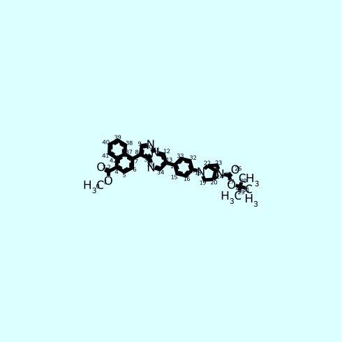 COC(=O)c1ccc(-c2cnn3cc(-c4ccc(N5CC6CC5CN6C(=O)OC(C)(C)C)cc4)cnc23)c2ccccc12